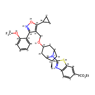 CCOC(=O)c1ccc2nc(N3C4CC(OCc5c(-c6ccccc6OC(F)(F)F)noc5C5CC5)CC3[C@H](C)C4)sc2c1